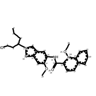 CCCC(CCO)n1cc2cc(NC(=O)c3ccc4ccccc4[n+]3OC)c(OC)cc2n1